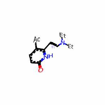 CCN(/C=C/c1[nH]c(=O)ccc1C(C)=O)CC